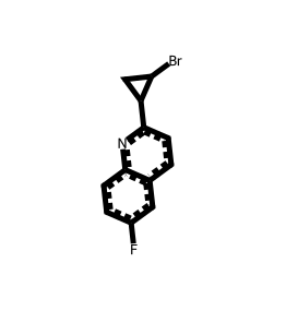 Fc1ccc2nc(C3CC3Br)ccc2c1